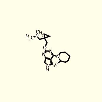 CC1CCCCCN1c1nc(OCC2(CN(C)C)CC2)nc2c1CNC2